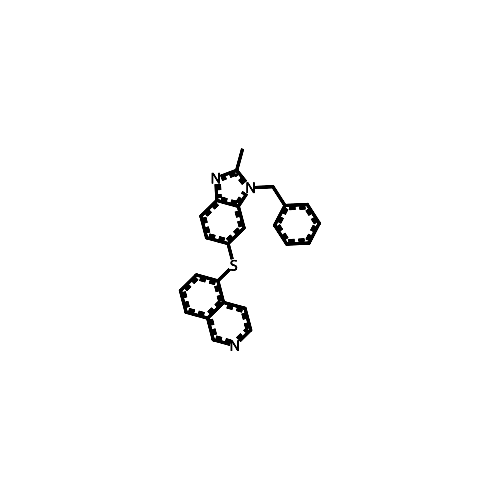 Cc1nc2ccc(Sc3cccc4cnccc34)cc2n1Cc1ccccc1